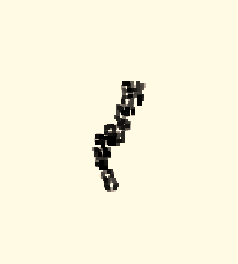 Cc1c(-c2nc3cc(CO)c(OC(F)F)cc3o2)cccc1-c1cccc(NC(=O)c2nc3c(n2C)CCN(C2CCC4(CCCCC4)CC2)C3)c1Cl